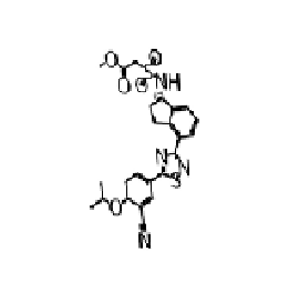 COC(=O)CS(=O)(=O)N[C@H]1CCc2c(-c3nsc(C4=CCC(OC(C)C)C(C#N)=C4)n3)cccc21